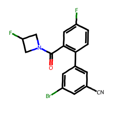 N#Cc1cc(Br)cc(-c2ccc(F)cc2C(=O)N2CC(F)C2)c1